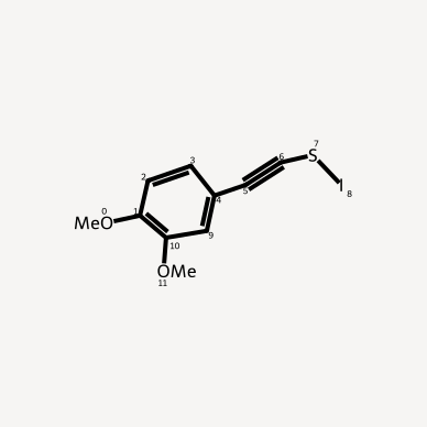 COc1ccc(C#CSI)cc1OC